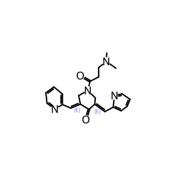 CN(C)CCC(=O)N1C/C(=C\c2ccccn2)C(=O)/C(=C/c2ccccn2)C1